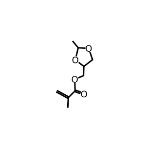 C=C(C)C(=O)OCC1COC(C)O1